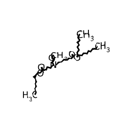 CCCCCCCCC(CCCCCCCC)OC(=O)CCCCCCCN(CCCC(=O)OCC1CC1CCCCCC)CCOC